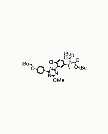 COc1nc(-c2ccc(OCC(C)(C)C)cc2)nc(-c2cc(C(C)N(C(=O)OC(C)(C)C)C(=O)OC(C)(C)C)ccc2Cl)n1